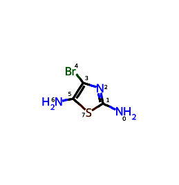 Nc1nc(Br)c(N)s1